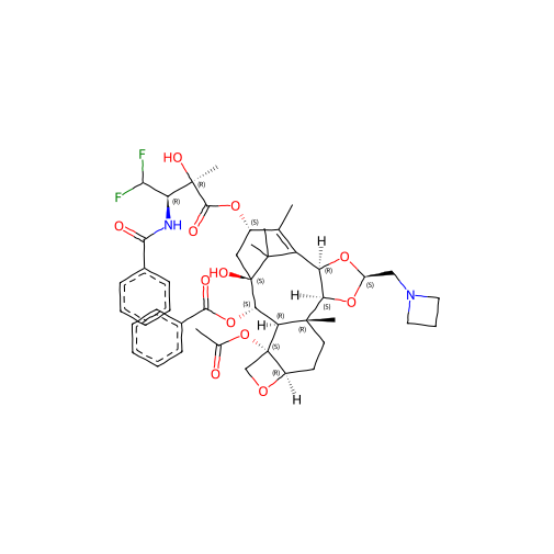 CC(=O)O[C@@]12CO[C@@H]1CC[C@@]1(C)[C@@H]3O[C@H](CN4CCC4)O[C@@H]3C3=C(C)[C@@H](OC(=O)[C@](C)(O)[C@@H](NC(=O)c4ccccc4)C(F)F)C[C@@](O)([C@@H](OC(=O)c4ccccc4)[C@@H]12)C3(C)C